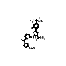 CO[C@H]1CCN(C(=O)c2cccc(NC3SC(c4ccc(C(C)(C)O)cc4F)=CC3C(N)=O)n2)C1